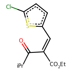 CCOC(=O)/C(=C/c1ccc(Cl)s1)C(=O)C(C)C